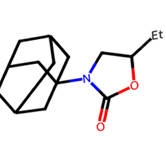 CCC1CN(C23CC4CC(CC(C4)C2)C3)C(=O)O1